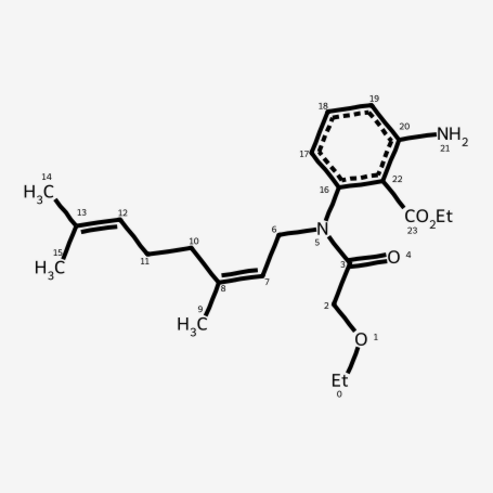 CCOCC(=O)N(CC=C(C)CCC=C(C)C)c1cccc(N)c1C(=O)OCC